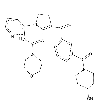 C=C(C1=C(/N=C(\N)N2CCOCC2)N(c2cccnc2)CC1)c1cccc(C(=O)N2CCC(O)CC2)c1